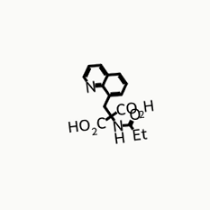 CCC(=O)NC(Cc1cccc2cccnc12)(C(=O)O)C(=O)O